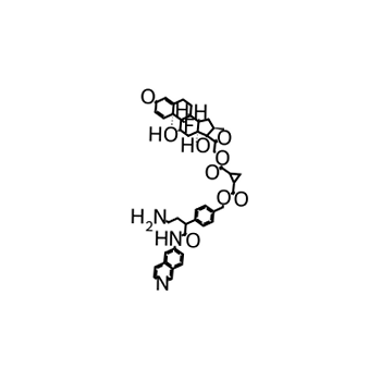 C[C@@H]1C[C@H]2[C@@H]3CCC4=CC(=O)C=C[C@]4(C)C3(F)[C@@H](O)C[C@]2(C)[C@@]1(O)C(=O)COC(=O)C1CC1C(=O)OCc1ccc(C(CCN)C(=O)Nc2ccc3cnccc3c2)cc1